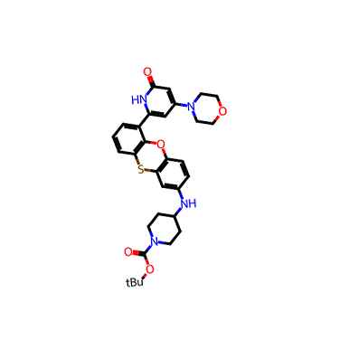 CC(C)(C)OC(=O)N1CCC(Nc2ccc3c(c2)Sc2cccc(-c4cc(N5CCOCC5)cc(=O)[nH]4)c2O3)CC1